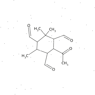 CC(=O)C1C(C=O)C(C)C(C=O)C(C)(C)C1C=O